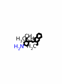 C=Cc1cc2ccccc2cc1/C=C/C1=C(C(C)(C)C)CC(N)CC1